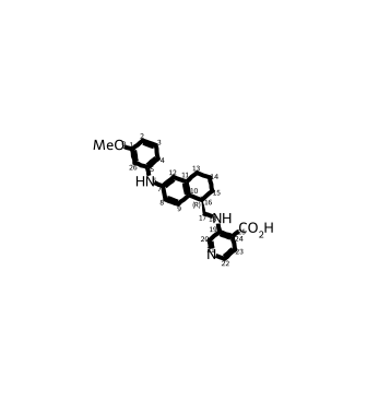 COc1cccc(Nc2ccc3c(c2)CCC[C@H]3CNc2cnccc2C(=O)O)c1